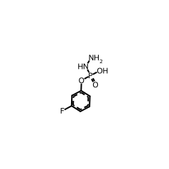 NNP(=O)(O)Oc1cccc(F)c1